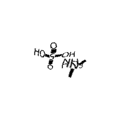 CNC.N.O=S(=O)(O)O